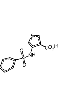 O=C(O)c1cscc1NS(=O)(=O)c1ccccc1